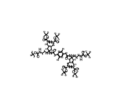 CC(C)(C)OC(=O)NCCCC(CCCNC(=O)OC(C)(C)C)(CCCNC(=O)OC(C)(C)C)NC(=O)Cc1cc(I)c(CC(=O)NC(CCCNC(=O)OC(C)(C)C)(CCCNC(=O)OC(C)(C)C)CCCNC(=O)OC(C)(C)C)cc1I